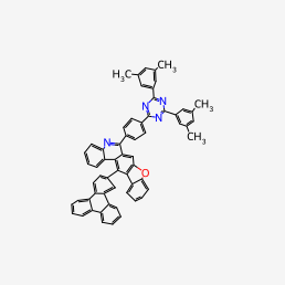 Cc1cc(C)cc(-c2nc(-c3ccc(-c4nc5ccccc5c5c(-c6ccc7c8ccccc8c8ccccc8c7c6)c6c(cc45)oc4ccccc46)cc3)nc(-c3cc(C)cc(C)c3)n2)c1